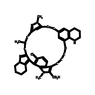 CN1Cc2cc(n(C)n2)CCc2cc3c(c(c2)OCCCc2c(C(=O)O)n(C)c4c(c(Cl)ccc24)-c2c(nn4c2CCCC4)C1)NCCC3